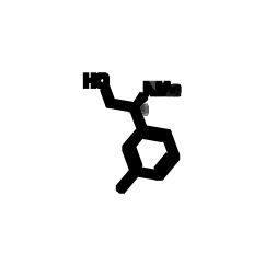 CN[C@H](CO)c1cccc(C)c1